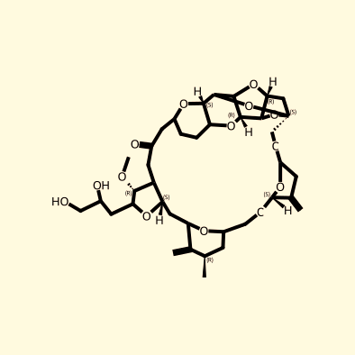 C=C1C2C[C@@H]3OC(CC(O)CO)[C@H](OC)C3CC(=O)CC3CCC4O[C@@H]5C6O[C@@H]7C[C@](CCC8CC(=C)[C@H](CCC(C[C@H]1C)O2)O8)(OC6[C@H]4O3)OC57